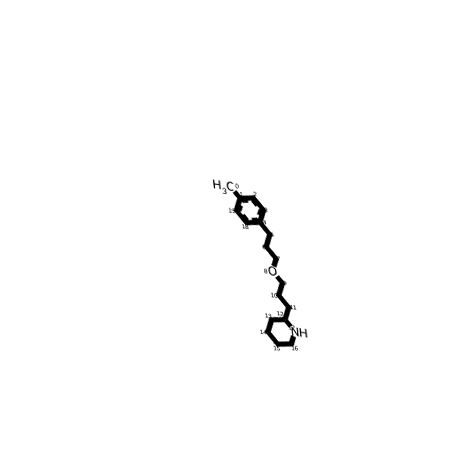 Cc1ccc(CCCOCCCC2CC[CH]CN2)cc1